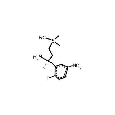 C[C@](N)(CCS(C)(C)C#N)c1cc([N+](=O)[O-])ccc1F